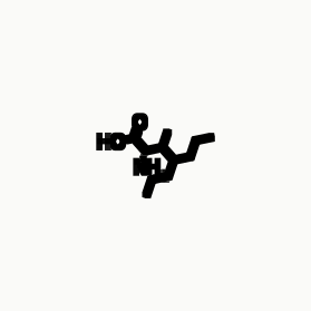 CCCC(CCC)C(C)[C@H](N)C(=O)O